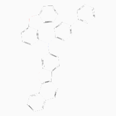 c1ccc(-c2ccc(N(c3ccc4c(c3)oc3c5ccccc5ccc43)c3cccc4oc5ccccc5c34)cc2)cc1